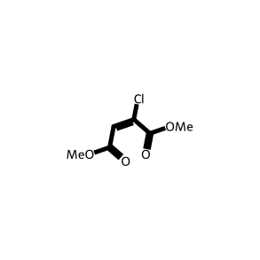 COC(=O)/C=C(/Cl)C(=O)OC